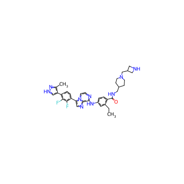 CCc1cc(Nc2nccn3c(-c4ccc(-c5c[nH]nc5C)c(F)c4F)cnc23)ccc1C(=O)NCC1CCN(CC2CNC2)CC1